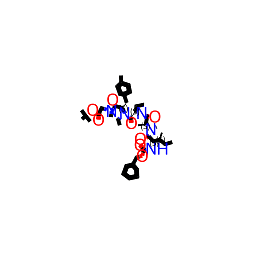 CC[C@H](C)[C@H](NC(=O)OCc1ccccc1)C(=O)N(C)[C@@H](C)C(=O)N1CC[C@H]1C(=O)N(CC)[C@@H](Cc1ccc(C)cc1)C(=O)N(C)CC(=O)OC(C)(C)C